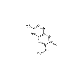 COc1cc(NC(C)=O)c(Br)cc1Cl